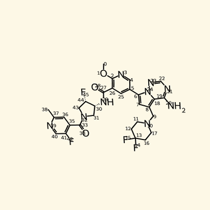 COc1ncc(-c2cc(CN3CCC(F)(F)CC3)c3c(N)ncnn23)cc1C(=O)N[C@@H]1CN(C(=O)c2cc(C)ncc2F)C[C@@H]1F